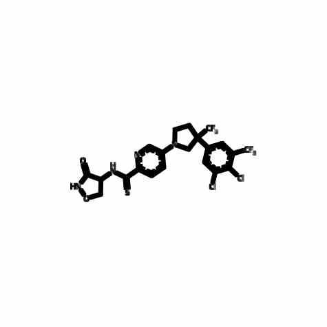 O=C1NOCC1NC(=S)c1ccc(N2CCC(c3cc(Cl)c(Cl)c(C(F)(F)F)c3)(C(F)(F)F)C2)cn1